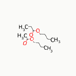 CCCCOC(=O)CC.CCCCOC(C)=O